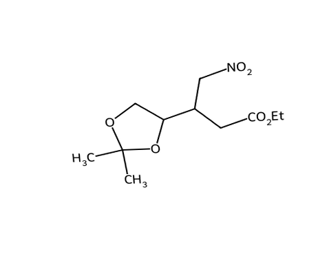 CCOC(=O)CC(C[N+](=O)[O-])C1COC(C)(C)O1